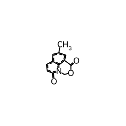 Cc1cc2c3c(ccc(=O)n3COC2=O)c1